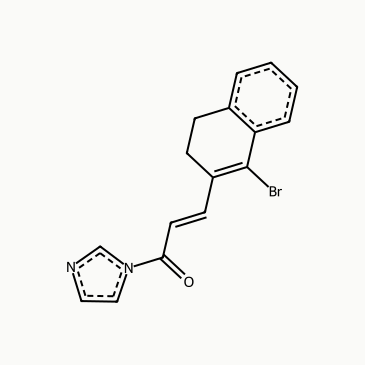 O=C(C=CC1=C(Br)c2ccccc2CC1)n1ccnc1